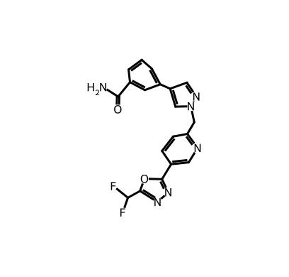 NC(=O)c1cccc(-c2cnn(Cc3ccc(-c4nnc(C(F)F)o4)cn3)c2)c1